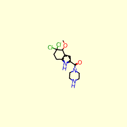 COC1c2cc(C(=O)N3CCNCC3)[nH]c2CCC1(Cl)Cl